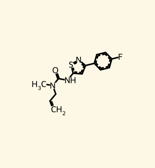 C=CCN(C)C(=O)Nc1cc(-c2ccc(F)cc2)ns1